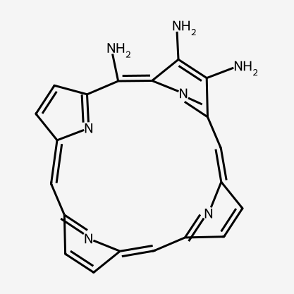 NC1=C(N)C2=C(N)C3=NC(=CC4=NC(=CC5=NC(=CC1=N2)C=C5)C=C4)C=C3